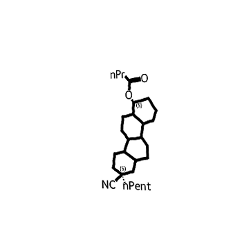 CCCCC[C@]1(C#N)CCC2C(CCC3C2CCC2C3CCC[C@@H]2OC(=O)CCC)C1